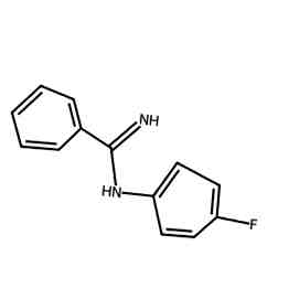 N=C(Nc1ccc(F)cc1)c1ccccc1